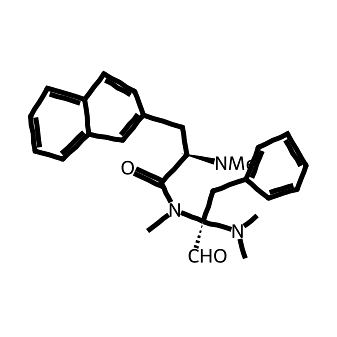 CN[C@H](Cc1ccc2ccccc2c1)C(=O)N(C)[C@@](C=O)(Cc1ccccc1)N(C)C